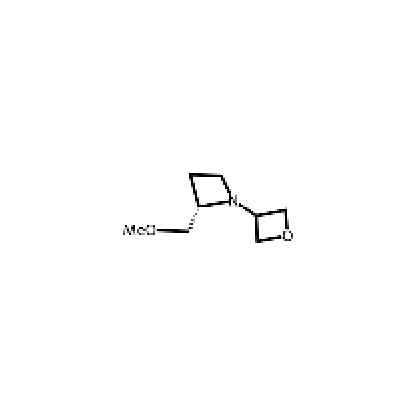 COC[C@@H]1CCN1C1COC1